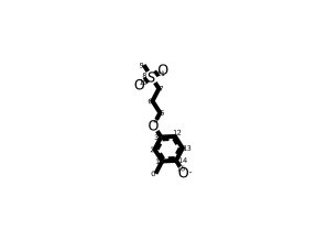 Cc1cc(OCCCS(C)(=O)=O)ccc1[O]